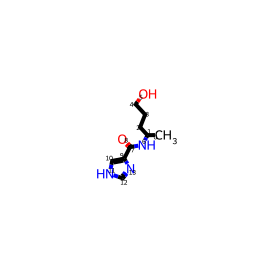 CC(CCCO)NC(=O)c1c[nH]cn1